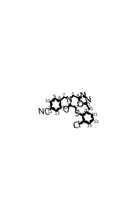 Cc1nnc(CN(Cc2ccc(C#N)cc2)C(=O)CSc2ccccc2Cl)o1